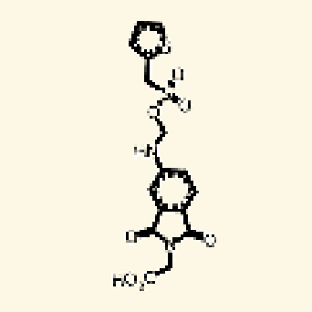 O=C(O)CN1C(=O)c2ccc(NCOS(=O)(=O)Cc3cccs3)cc2C1=O